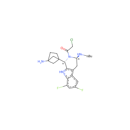 CCCCN[C@H]1Cc2c([nH]c3c(F)cc(F)cc23)[C@H](C23CCC(N)(C2)C3)N1C(=O)CCl